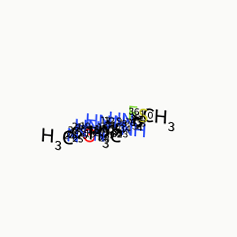 CSc1cccc(NC2N=C(c3c[nH]c4c(NC(=O)CN5CCN(C)CC5)nccc34)C(C)=CN2)c1F